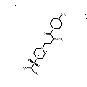 CC(CCN1CCN(S(=O)(=O)C(C)C)CC1)C(=O)N1CCN(C)CC1